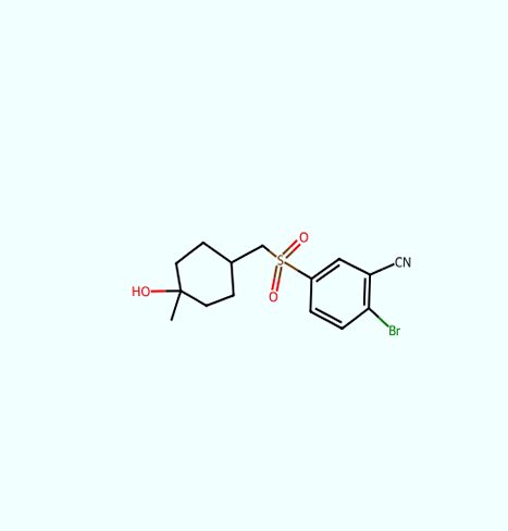 CC1(O)CCC(CS(=O)(=O)c2ccc(Br)c(C#N)c2)CC1